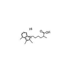 Cc1cccc2c1c(C)c(C)n2CCCCC(C)C(=O)O.I